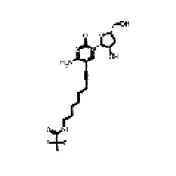 Nc1nc(=O)n([C@@H]2O[C@H](CO)C[C@H]2O)cc1C#CCCCCCCNC(=O)C(F)(F)F